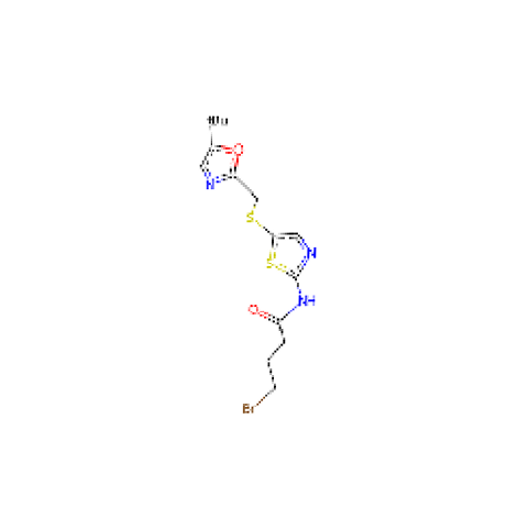 CC(C)(C)c1cnc(CSc2cnc(NC(=O)CCCBr)s2)o1